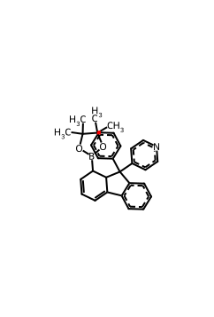 CC1(C)OB(C2C=CC=C3c4ccccc4C(c4ccccc4)(c4ccncc4)C32)OC1(C)C